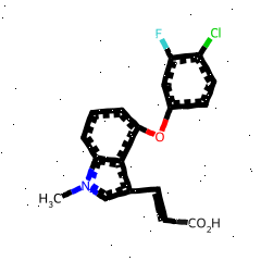 Cn1cc(C=CC(=O)O)c2c(Oc3ccc(Cl)c(F)c3)cccc21